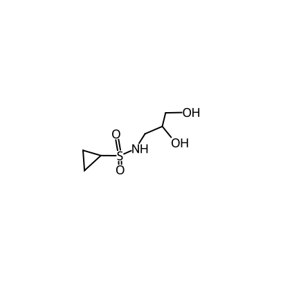 O=S(=O)(NCC(O)CO)C1CC1